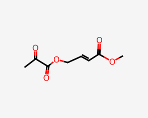 COC(=O)C=CCOC(=O)C(C)=O